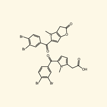 Cn1c(C(=O)c2ccc(Br)c(Br)c2)cc2c1CC(=O)O2.Cn1c(CC(=O)O)ccc1C(=O)c1ccc(Br)c(Br)c1